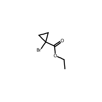 CCOC(=O)C1(Br)CC1